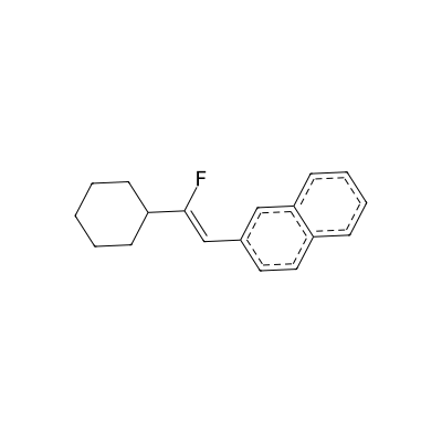 FC(=Cc1ccc2ccccc2c1)C1CCCCC1